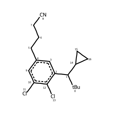 CC(C)(C)C(c1cc(CCCC#N)cc(Cl)c1Cl)C1CC1